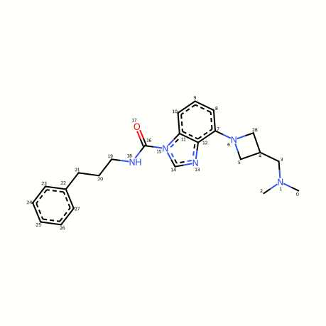 CN(C)CC1CN(c2cccc3c2ncn3C(=O)NCCCc2ccccc2)C1